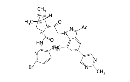 CC(=O)c1nn(CC(=O)N2[C@H]3[C@@H](C)[C@@]3(C)C[C@H]2C(=O)Nc2nc(Br)ccc2C)c2c(C(F)(F)F)cc(-c3cnc(C)nc3)cc12